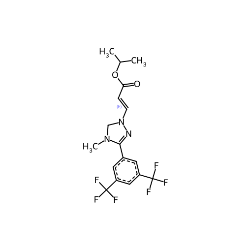 CC(C)OC(=O)/C=C/N1CN(C)C(c2cc(C(F)(F)F)cc(C(F)(F)F)c2)=N1